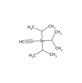 C#[C][Sn]([CH](C)C)([CH](C)C)[CH](C)C